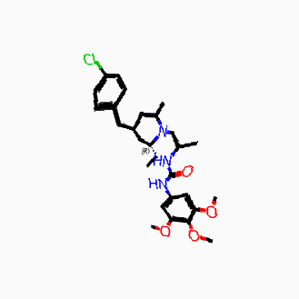 CC[C@@H]1CC(Cc2ccc(Cl)cc2)CC(C)N1CC(C)NC(=O)Nc1cc(OC)c(OC)c(OC)c1